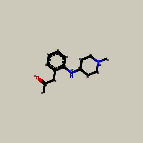 CC(=O)Cc1ccccc1NC1CCN(C)CC1